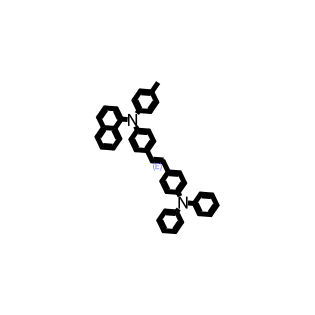 Cc1ccc(N(c2ccc(/C=C/c3ccc(N(c4ccccc4)c4ccccc4)cc3)cc2)c2cccc3ccccc23)cc1